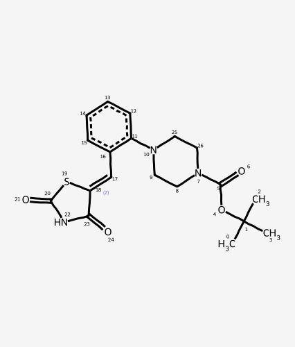 CC(C)(C)OC(=O)N1CCN(c2ccccc2/C=C2\SC(=O)NC2=O)CC1